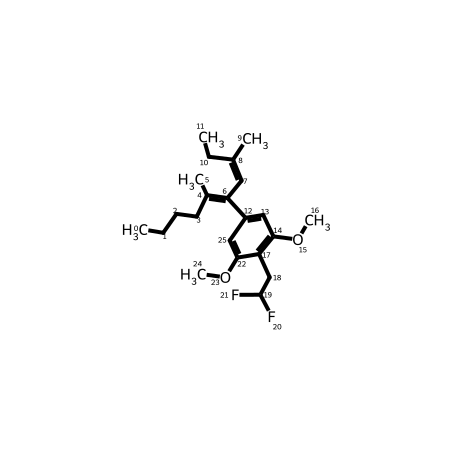 CCCC/C(C)=C(/C=C(/C)CC)c1cc(OC)c(CC(F)F)c(OC)c1